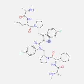 CCCC(NC(=O)C(C)NC)C(=O)N1CCCC1Cc1c(-c2nc3cc(F)ccc3n2CC2CCCN2C(=O)C(NC(=O)C(C)NC)C2CCCCC2)[nH]c2cc(F)ccc12